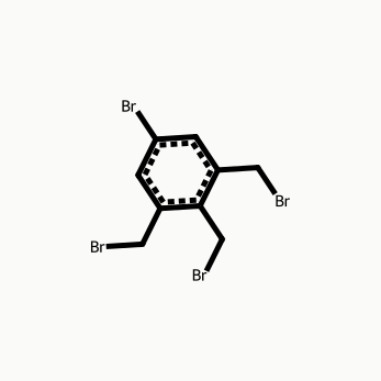 BrCc1cc(Br)cc(CBr)c1CBr